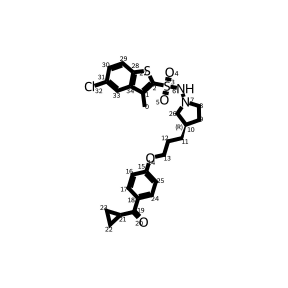 Cc1c(S(=O)(=O)NN2CC[C@@H](CCCOc3ccc(C(=O)C4CC4)cc3)C2)sc2ccc(Cl)cc12